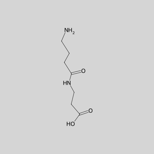 NCCCC(=O)NCCC(=O)O